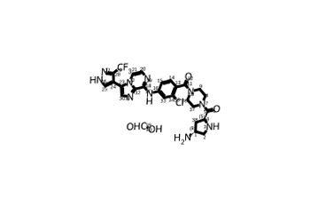 N[C@H]1CN[C@H](C(=O)N2CCN(C(=O)c3ccc(Nc4nccn5c(-c6c[nH]nc6C(F)(F)F)cnc45)cc3Cl)CC2)C1.O=CO